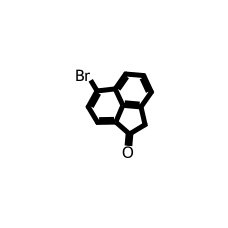 O=C1Cc2cccc3c(Br)ccc1c23